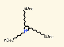 CCCCCCCCCCCCCCCCCc1cc(CCCCCCCCCCCCCCCCC)c[n+](CCCCCCCCCCCCCCCC)c1